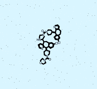 O=C(N1CCOCC1)N1CCC(=C2c3ccc(Cl)cc3CC(C3CN(C(=O)N4CCC(=C5c6ccc(Cl)cc6CCc6cccnc65)CC4)CCN3)c3cccnc32)CC1